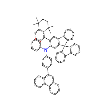 CC1(C)CCC(C)(C)c2c(-c3cc4c(cc3N(c3ccccc3)c3ccc(-c5cc6ccccc6c6ccccc56)cc3)C3(c5ccccc5-c5ccccc53)c3ccccc3-4)cccc21